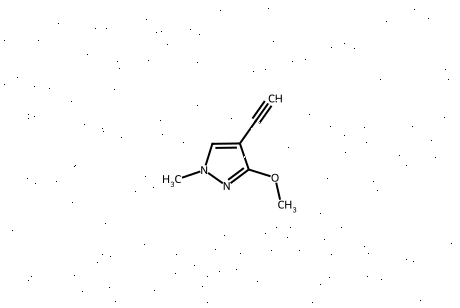 C#Cc1cn(C)nc1OC